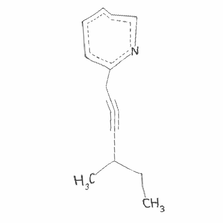 CCC(C)C#Cc1ccccn1